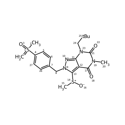 C=S(C)(=O)c1ccc(Cn2nc3c(c2[S+](C)[O-])c(=O)n(C)c(=O)n3CC(C)(C)C)cc1